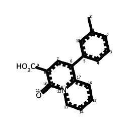 Cc1cccc(-c2cc(C(=O)O)c(=O)n3ccccc23)c1